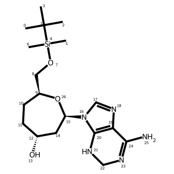 CC(C)(C)[Si](C)(C)OC[C@@H]1CC[C@@H](O)C[C@H](n2cnc3c2NCN=C3N)O1